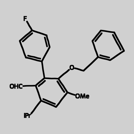 COc1cc(C(C)C)c(C=O)c(-c2ccc(F)cc2)c1OCc1ccccc1